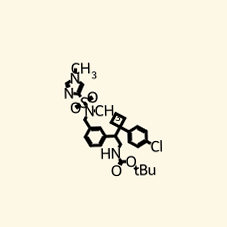 CN(Cc1cccc(C(CNC(=O)OC(C)(C)C)C2(c3ccc(Cl)cc3)CCC2)c1)S(=O)(=O)c1cn(C)cn1